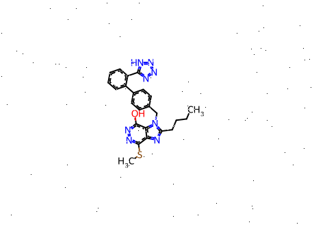 CCCCc1nc2c(SC)nnc(O)c2n1Cc1ccc(-c2ccccc2-c2nnn[nH]2)cc1